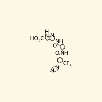 Cc1ccc(NC(=O)c2ccc(CN3CCN(C)CC3)c(C(F)(F)F)c2)cc1C(=O)Nc1cnc2[nH]c(C(=O)O)cc2c1